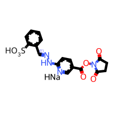 O=C(ON1C(=O)CCC1=O)c1ccc(N/N=C/c2ccccc2S(=O)(=O)O)nc1.[NaH]